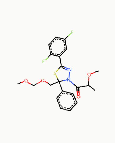 COCOCC1(c2ccccc2)SC(c2cc(F)ccc2F)=NN1C(=O)C(C)OC